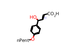 CCCCCOc1ccc(C(O)/C=C/C(=O)O)cc1